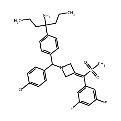 CCCC(N)(CCC)c1ccc(C(c2ccc(Cl)cc2)N2CC(=C(c3cc(F)cc(F)c3)S(C)(=O)=O)C2)cc1